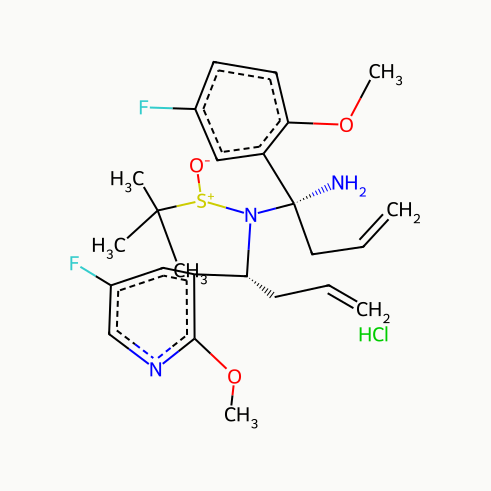 C=CC[C@H](c1cc(F)cnc1OC)N([S+]([O-])C(C)(C)C)[C@](N)(CC=C)c1cc(F)ccc1OC.Cl